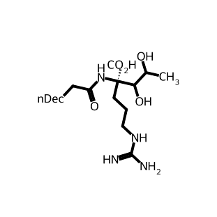 CCCCCCCCCCCC(=O)N[C@@](CCCNC(=N)N)(C(=O)O)C(O)C(C)O